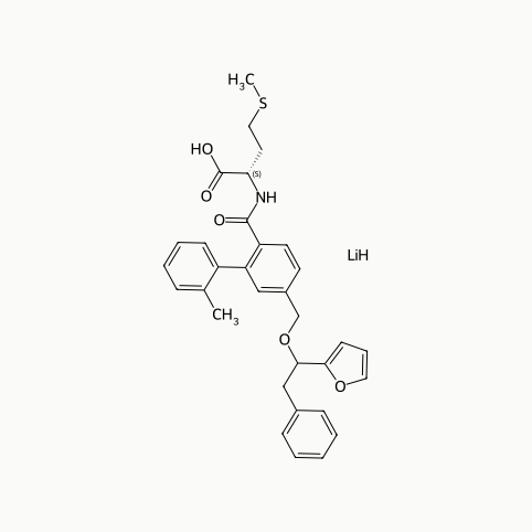 CSCC[C@H](NC(=O)c1ccc(COC(Cc2ccccc2)c2ccco2)cc1-c1ccccc1C)C(=O)O.[LiH]